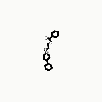 O=C(OCCO[n+]1ccc(-c2ccccc2)cc1)c1ccccc1